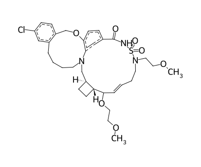 COCCOC1/C=C/CCN(CCOC)S(=O)(=O)NC(=O)c2ccc3c(c2)N(CCCCc2cc(Cl)ccc2CO3)C[C@@H]2CC[C@@H]12